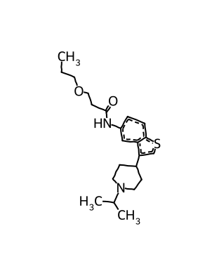 CCCOCCC(=O)Nc1ccc2scc(C3CCN(C(C)C)CC3)c2c1